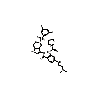 CN(C)CCNc1ccc(C(=O)Nc2n[nH]c3c2CN(S(=O)(=O)c2cc(F)cc(F)c2)CC3)c(NC(=O)[C@H]2CCCO2)c1